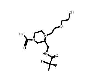 O=C(O)N1CCN(CCOCCO)C(CNC(=O)C(F)(F)F)C1